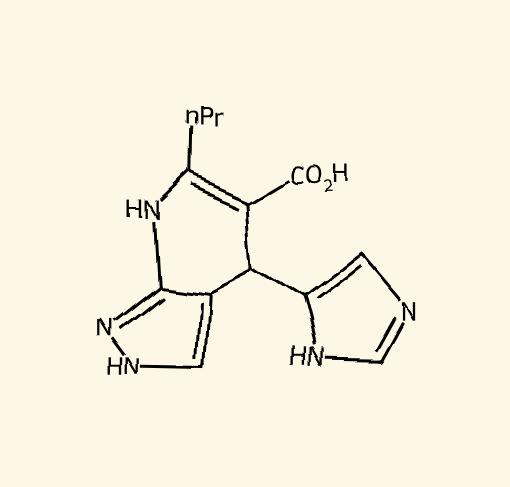 CCCC1=C(C(=O)O)C(c2cnc[nH]2)c2c[nH]nc2N1